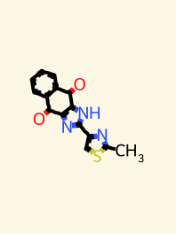 Cc1nc(-c2nc3c([nH]2)C(=O)c2ccccc2C3=O)cs1